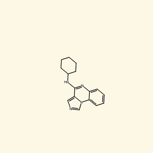 c1ccc2c(c1)nc(NC1CCCCC1)c1cncn12